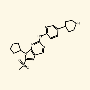 CS(=O)(=O)c1cc2cnc(Nc3ccc(C4CCNCC4)cn3)nc2n1C1CCCC1